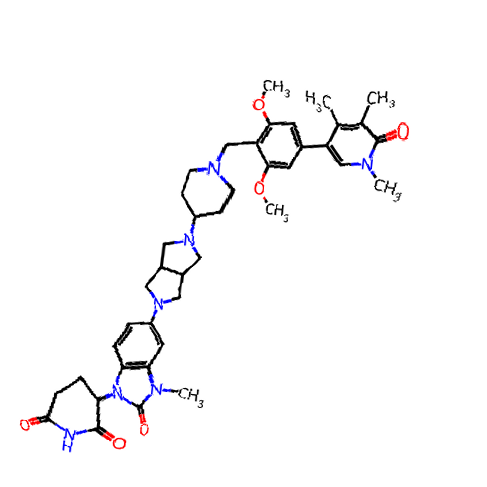 COc1cc(-c2cn(C)c(=O)c(C)c2C)cc(OC)c1CN1CCC(N2CC3CN(c4ccc5c(c4)n(C)c(=O)n5C4CCC(=O)NC4=O)CC3C2)CC1